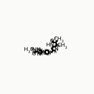 CCC1C(=O)Nc2cc(CN3CCN(c4cnc(C(=O)NC)nc4)CC3)cnc2[C@@H]1C